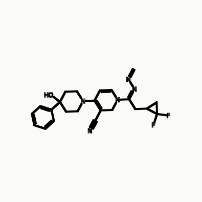 C=N/N=C(/CC1CC1(F)F)N1C=CC(N2CCC(O)(c3ccccc3)CC2)=C(C#N)C1